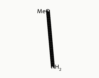 CON=NN=NN=NN=NN=NN=NN=NN=NN=NN=NN=NN=NN=NN=NN=NN=NN=NN=NN=NN=NN=NN=NN=NN=NN=NN=NN=NN=NN=NN=NN=NN